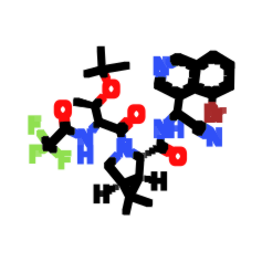 C[C@@H](OC(C)(C)C)[C@H](NC(=O)C(F)(F)F)C(=O)N1C[C@H]2[C@@H]([C@H]1C(=O)NC(C#N)c1cncc3cccc(Br)c13)C2(C)C